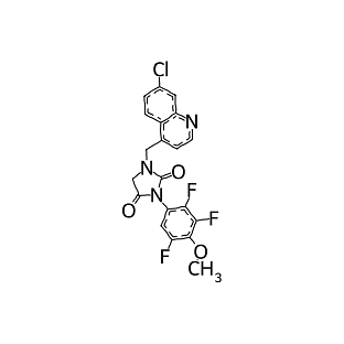 COc1c(F)cc(N2C(=O)CN(Cc3ccnc4cc(Cl)ccc34)C2=O)c(F)c1F